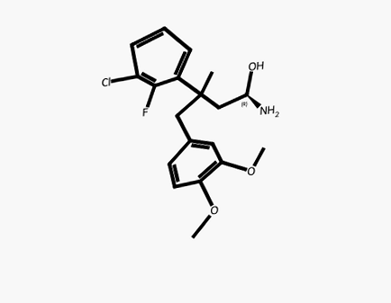 COc1ccc(CC(C)(C[C@H](N)O)c2cccc(Cl)c2F)cc1OC